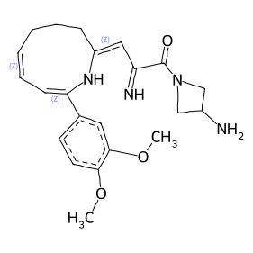 COc1ccc(/C2=C/C=C\CCC/C(=C/C(=N)C(=O)N3CC(N)C3)N2)cc1OC